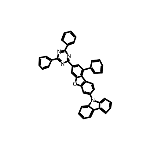 c1ccc(-c2nc(-c3ccccc3)nc(-c3cc(-c4ccccc4)c4c(c3)oc3cc(-n5c6ccccc6c6ccccc65)ccc34)n2)cc1